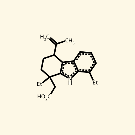 C=C(C)C1CCC(CC)(CC(=O)O)c2[nH]c3c(CC)cccc3c21